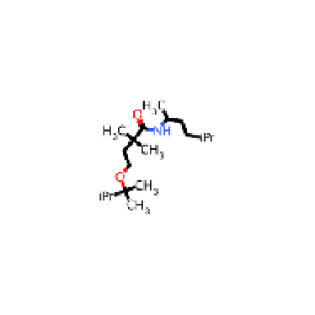 CC(C)CCC(C)NC(=O)C(C)(C)CCOC(C)(C)C(C)C